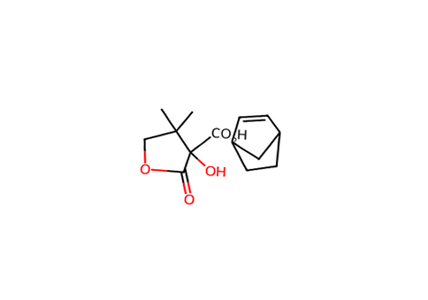 C1=CC2CCC1C2.CC1(C)COC(=O)C1(O)C(=O)O